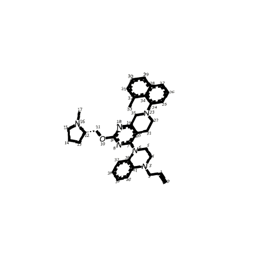 C=CCN1CCN(c2nc(OC[C@@H]3CCCN3C)nc3c2CCN(c2cccc4cccc(C)c24)C3)c2ccccc21